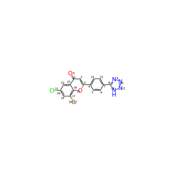 O=c1cc(-c2ccc(-c3nnn[nH]3)cc2)oc2c(Br)cc(Cl)cc12